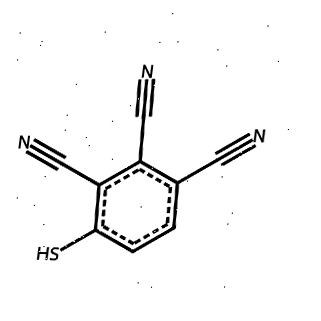 N#Cc1ccc(S)c(C#N)c1C#N